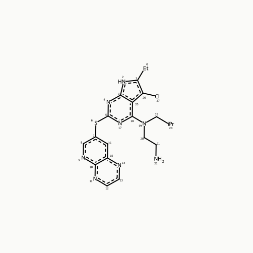 CCc1[nH]c2nc(Sc3cnc4nccnc4c3)nc(N(CCN)CC(C)C)c2c1Cl